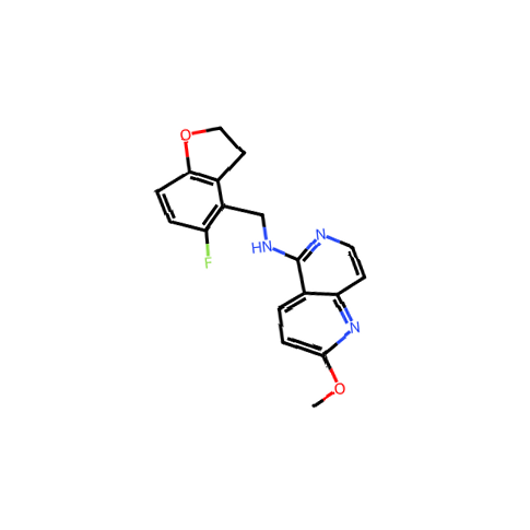 COc1ccc2c(NCc3c(F)ccc4c3CCO4)nccc2n1